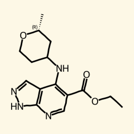 CCOC(=O)c1cnc2[nH]ncc2c1NC1CCO[C@H](C)C1